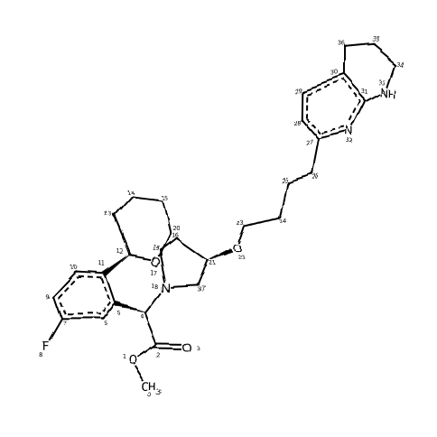 COC(=O)[C@@H](c1cc(F)ccc1[C@H]1CCCCO1)N1CC[C@@H](OCCCCc2ccc3c(n2)NCCC3)C1